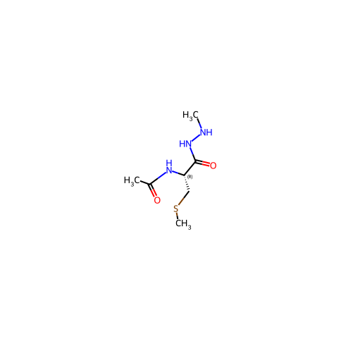 CNNC(=O)[C@H](CSC)NC(C)=O